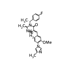 C=C(N)N(C(=O)/C(N)=C/c1ccc(-n2cnc(C)c2)c(OC)c1)[C@H](C)c1ccc(F)cc1